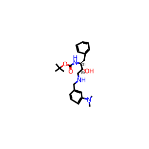 CN(C)c1cccc(CNC[C@@H](O)[C@H](Cc2ccccc2)NC(=O)OC(C)(C)C)c1